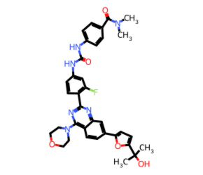 CN(C)C(=O)c1ccc(NC(=O)Nc2ccc(-c3nc(N4CCOCC4)c4ccc(-c5ccc(C(C)(C)O)o5)cc4n3)c(F)c2)cc1